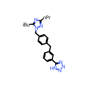 CCCc1nc(C(C)CC)n(Cc2ccc(Cc3cccc(-c4nnn[nH]4)c3)cc2)n1